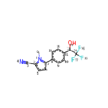 Cn1c(C#N)ccc1-c1ccc(C(O)C(F)(F)F)cc1